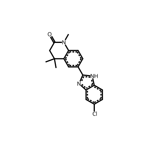 CN1C(=O)CC(C)(C)c2cc(-c3nc4cc(Cl)ccc4[nH]3)ccc21